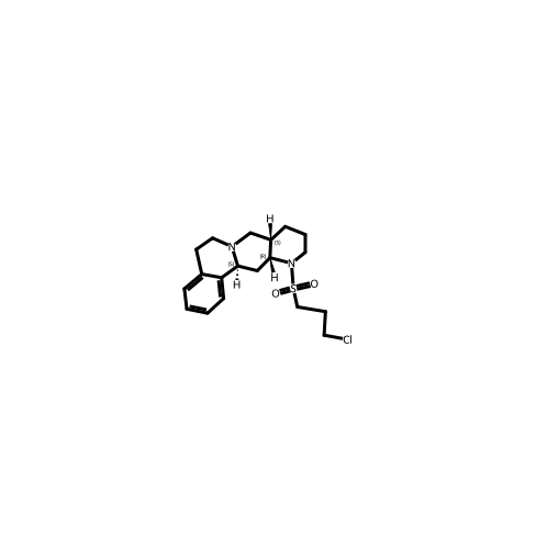 O=S(=O)(CCCCl)N1CCC[C@H]2CN3CCc4ccccc4[C@@H]3C[C@H]21